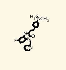 CN(C)c1ccc(/C=C/c2nc3cc(F)ccc3n(Cc3ccccn3)c2=O)cc1